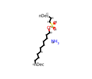 CCCCCCCCCCCCCCCCCCCCOS(=O)(=O)CCCCCCCCCCCC.N